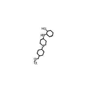 CCOCC1CCC(N2CCC(N[C@@H]3CCCC[C@@H]3O)CC2)CC1